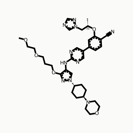 COCCOCCCOc1nn([C@H]2CC[C@H](N3CCOCC3)CC2)cc1Nc1ncc(-c2ccc(C#N)c(O[C@@H](C)Cn3cncn3)c2)cn1